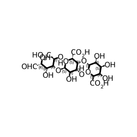 O=C[C@H](O)[C@@H](O)[C@@H](O[C@H]1O[C@H](C(=O)O)[C@H](O[C@H]2O[C@H](C(=O)O)[C@H](O)[C@H](O)[C@H]2O)[C@H](O)[C@H]1O)[C@H](O)C(=O)O